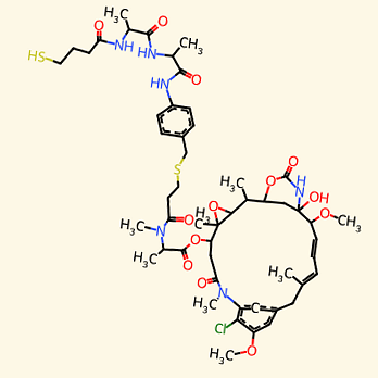 COc1cc2cc(c1Cl)N(C)C(=O)CC(OC(=O)C(C)N(C)C(=O)CCSCc1ccc(NC(=O)C(C)NC(=O)C(C)NC(=O)CCCS)cc1)C1(C)OC1C(C)C1CC(O)(NC(=O)O1)C(OC)/C=C/C=C(\C)C2